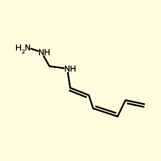 C=C/C=C\C=C\NCNN